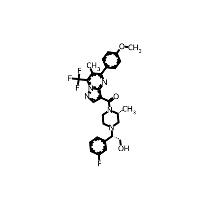 COc1ccc(-c2nc3c(C(=O)N4CCN([C@H](CO)c5cccc(F)c5)C[C@H]4C)cnn3c(C(F)(F)F)c2C)cc1